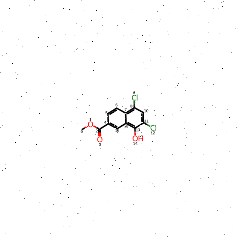 COC(=O)c1ccc2c(Cl)cc(Cl)c(O)c2c1